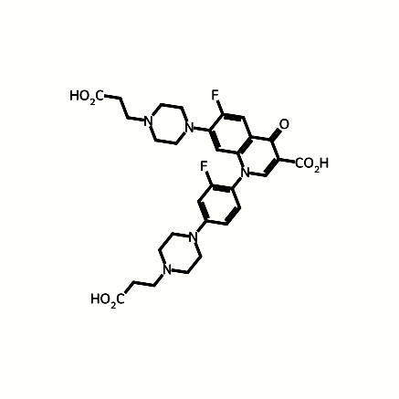 O=C(O)CCN1CCN(c2ccc(-n3cc(C(=O)O)c(=O)c4cc(F)c(N5CCN(CCC(=O)O)CC5)cc43)c(F)c2)CC1